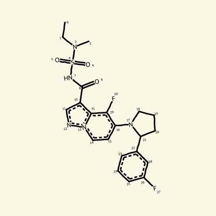 CCN(C)S(=O)(=O)NC(=O)c1cnn2ccc(N3CCCC3c3cccc(F)c3)c(F)c12